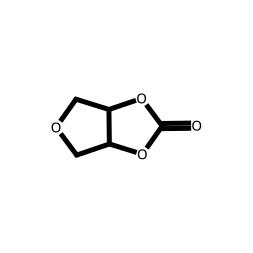 O=C1OC2COCC2O1